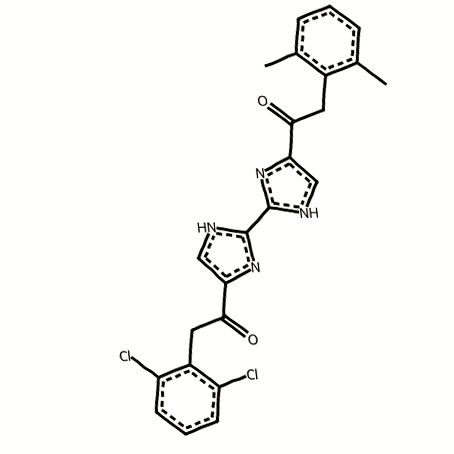 Cc1cccc(C)c1CC(=O)c1c[nH]c(-c2nc(C(=O)Cc3c(Cl)cccc3Cl)c[nH]2)n1